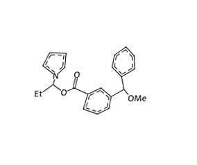 CCC(OC(=O)c1cccc(C(OC)c2ccccc2)c1)n1cccc1